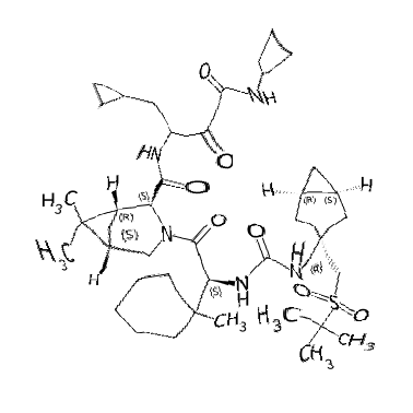 CC1([C@H](NC(=O)N[C@@]2(CS(=O)(=O)C(C)(C)C)C[C@H]3C[C@H]3C2)C(=O)N2C[C@H]3[C@@H]([C@H]2C(=O)NC(CC2CC2)C(=O)C(=O)NC2CC2)C3(C)C)CCCCC1